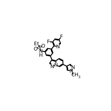 CCS(=O)(=O)Nc1cc(-c2ncc(F)cc2F)cc(-c2cnn3cc(-c4cnn(C)c4)ccc23)c1